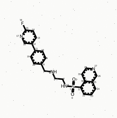 O=S(=O)(NCCNCc1ccc(-c2ccc(F)nc2)cc1)c1cccc2cnccc12